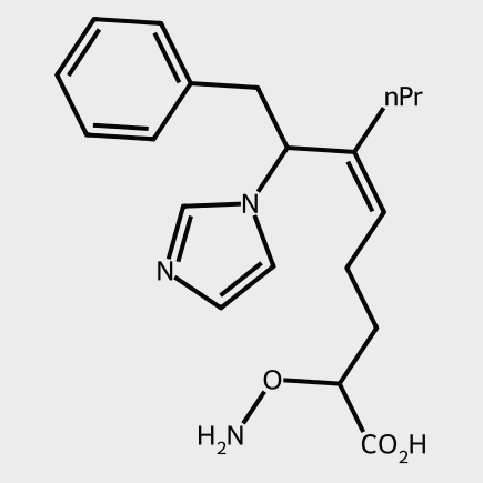 CCC/C(=C/CCC(ON)C(=O)O)C(Cc1ccccc1)n1ccnc1